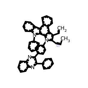 C=Cc1c(/C=C\C)n(-c2ccc(-c3nc4ccccc4nc3-c3ccccc3)cc2)c2c1c1ccccc1c1c3ccccc3n(-c3ccccc3)c12